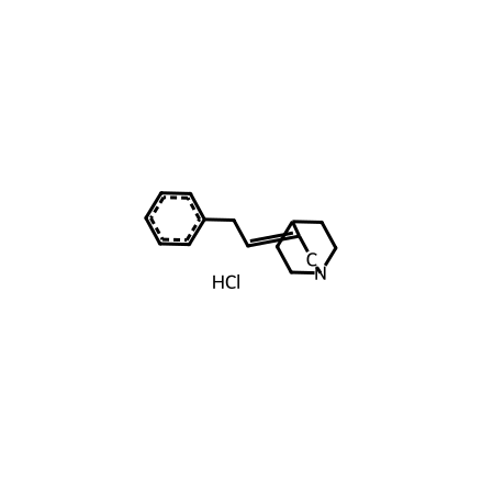 C(Cc1ccccc1)=C1CN2CCC1CC2.Cl